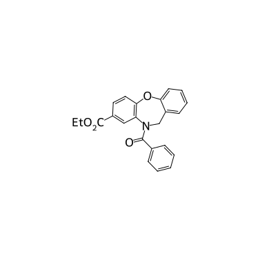 CCOC(=O)c1ccc2c(c1)N(C(=O)c1ccccc1)Cc1ccccc1O2